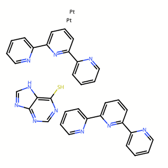 Sc1ncnc2nc[nH]c12.[Pt].[Pt].c1ccc(-c2cccc(-c3ccccn3)n2)nc1.c1ccc(-c2cccc(-c3ccccn3)n2)nc1